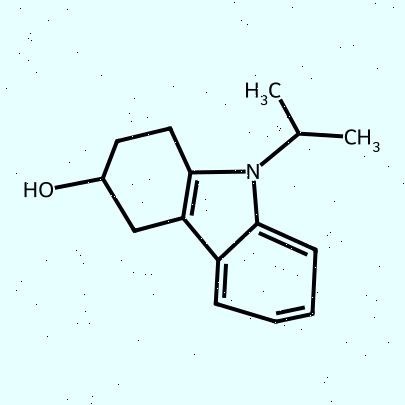 CC(C)n1c2c(c3ccccc31)CC(O)CC2